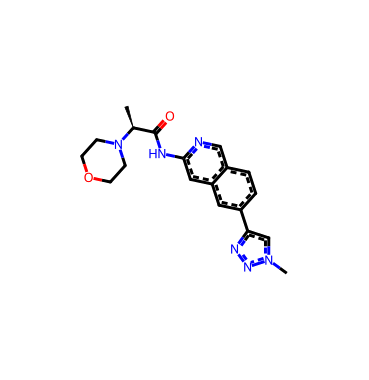 C[C@@H](C(=O)Nc1cc2cc(-c3cn(C)nn3)ccc2cn1)N1CCOCC1